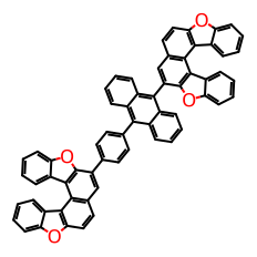 c1ccc2c(c1)oc1ccc3cc(-c4ccc(-c5c6ccccc6c(-c6cc7ccc8oc9ccccc9c8c7c7c6oc6ccccc67)c6ccccc56)cc4)c4oc5ccccc5c4c3c12